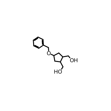 OCC1CC(OCc2ccccc2)CC1CO